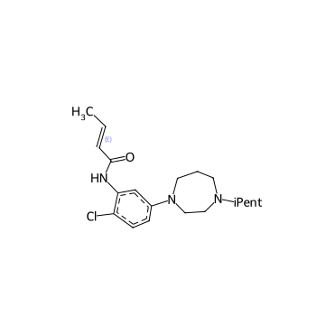 C/C=C/C(=O)Nc1cc(N2CCCN(C(C)CCC)CC2)ccc1Cl